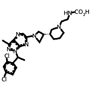 Cc1nn(C(C)c2ccc(Cl)cc2Cl)c2nc(N3CC([C@H]4CCCN(CCNC(=O)O)C4)C3)cnc12